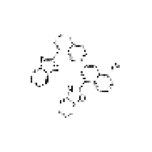 [Ir+3].c1ccc2c(-c3nc4ccccc4o3)cccc2c1.c1ccc2c(-c3nc4ccccc4o3)cccc2c1